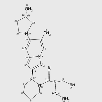 Cc1cn2nc([C@@H]3CCCCN3C(=O)C(CS)NN)cc2nc1N1CC[C@H](N)C1